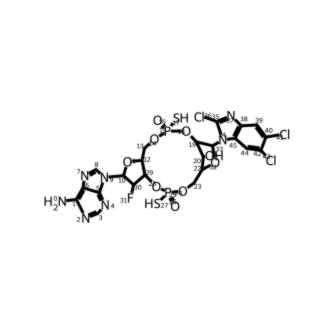 Nc1ncnc2c1ncn2C1OC2COP(=O)(S)OC3C(O)C(COP(=O)(S)OC2C1F)OC3n1c(Cl)nc2cc(Cl)c(Cl)cc21